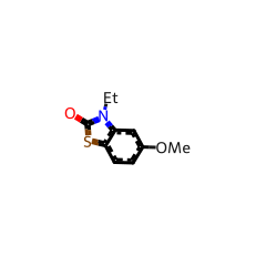 CCn1c(=O)sc2ccc(OC)cc21